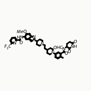 COc1cc2nn(C3CCN(CCC4CCN(c5ccc(C)c(C(=O)N(C=O)C6CCC(=O)NC6=O)c5)CC4)CC3)cc2cc1NC(=O)c1cccc(C(F)(F)F)n1